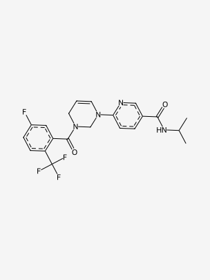 CC(C)NC(=O)c1ccc(N2C=CCN(C(=O)c3cc(F)ccc3C(F)(F)F)C2)nc1